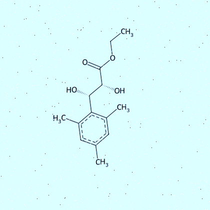 CCOC(=O)[C@H](O)[C@@H](O)c1c(C)cc(C)cc1C